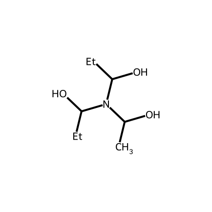 CCC(O)N(C(C)O)C(O)CC